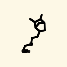 COCOCCC1CC2CC1C(C)C2C